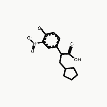 O=C(O)C(CC1CCCC1)c1ccc(Cl)c([N+](=O)[O-])c1